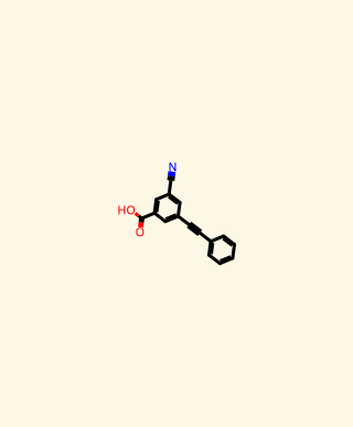 N#Cc1cc(C#Cc2ccccc2)cc(C(=O)O)c1